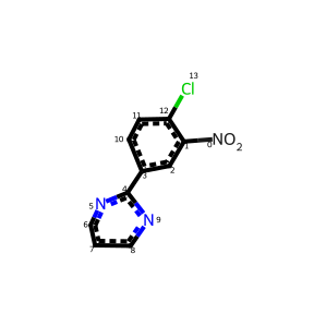 O=[N+]([O-])c1cc(-c2ncccn2)ccc1Cl